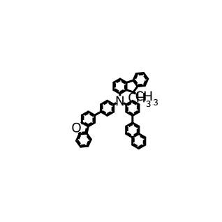 CC1(C)c2ccccc2-c2cccc(N(c3ccc(-c4ccc5oc6ccccc6c5c4)cc3)c3cccc(-c4ccc5ccccc5c4)c3)c21